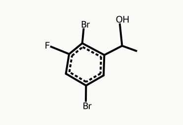 CC(O)c1cc(Br)cc(F)c1Br